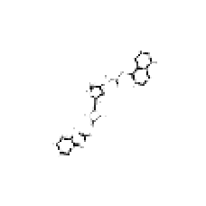 O=C(Cc1cccc2ccccc12)Nc1cc(C2CC(Oc3nc4ccccc4o3)C2)[nH]n1